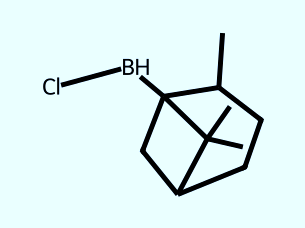 CC1CCC2CC1(BCl)C2(C)C